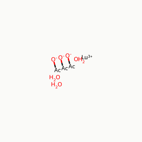 CC(=O)[O-].CC(=O)[O-].CC(=O)[O-].O.O.O.[Lu+3]